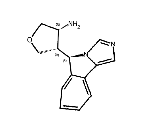 N[C@H]1COC[C@H]1[C@@H]1c2ccccc2-c2cncn21